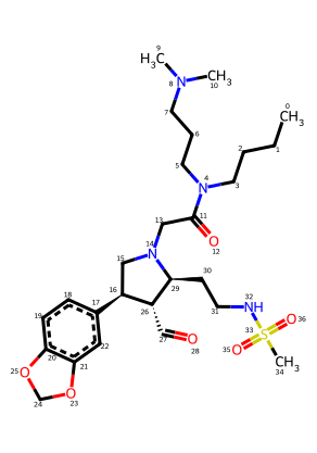 CCCCN(CCCN(C)C)C(=O)CN1C[C@H](c2ccc3c(c2)OCO3)[C@@H](C=O)[C@@H]1CCNS(C)(=O)=O